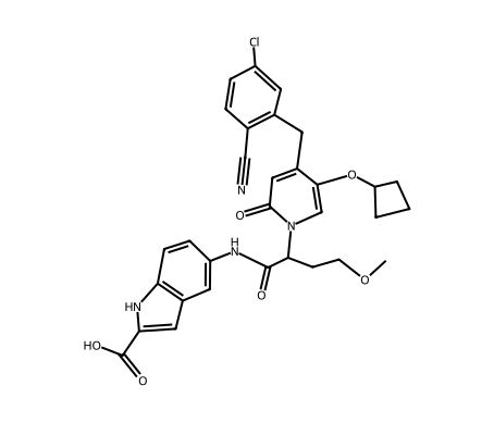 COCCC(C(=O)Nc1ccc2[nH]c(C(=O)O)cc2c1)n1cc(OC2CCC2)c(Cc2cc(Cl)ccc2C#N)cc1=O